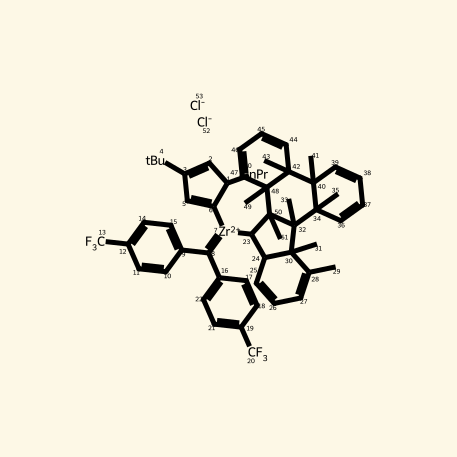 CCCC1C=C(C(C)(C)C)C=[C]1[Zr+2](=[C](c1ccc(C(F)(F)F)cc1)c1ccc(C(F)(F)F)cc1)[CH]1C2C=CC=C(C)C2(C)C2(C)C3(C)C=CC=CC3(C)C3(C)C=CC=CC3(C)C12C.[Cl-].[Cl-]